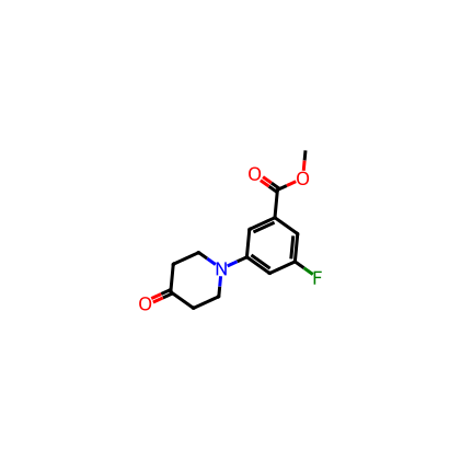 COC(=O)c1cc(F)cc(N2CCC(=O)CC2)c1